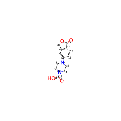 O=C1OCc2cc(N3CCN(C(=O)O)CC3)ccc21